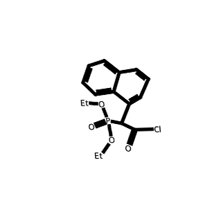 CCOP(=O)(OCC)C(C(=O)Cl)c1cccc2ccccc12